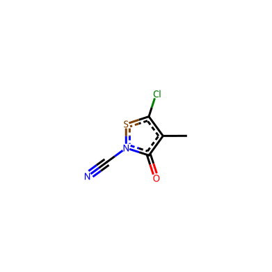 Cc1c(Cl)sn(C#N)c1=O